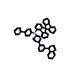 c1ccc(-c2ccc(N(c3ccc(-c4cccc(-c5cccc6ccccc56)c4)cc3)c3cccc4c3-c3ccccc3C43c4ccccc4-c4ccccc43)cc2)cc1